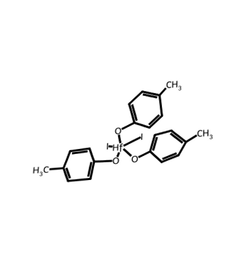 Cc1ccc([O][Hf]([I])([I])([O]c2ccc(C)cc2)[O]c2ccc(C)cc2)cc1